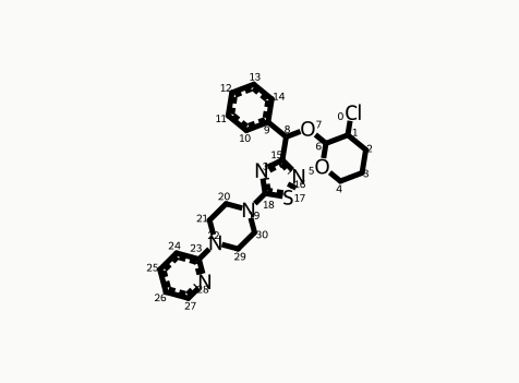 ClC1CCCOC1OC(c1ccccc1)c1nsc(N2CCN(c3ccccn3)CC2)n1